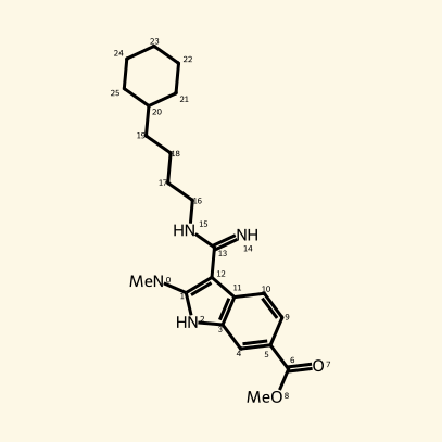 CNc1[nH]c2cc(C(=O)OC)ccc2c1C(=N)NCCCCC1CCCCC1